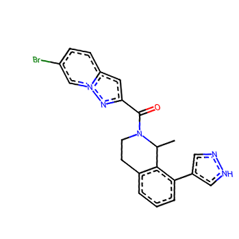 CC1c2c(cccc2-c2cn[nH]c2)CCN1C(=O)c1cc2ccc(Br)cn2n1